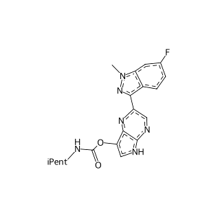 CCCC(C)NC(=O)Oc1c[nH]c2ncc(-c3nn(C)c4cc(F)ccc34)nc12